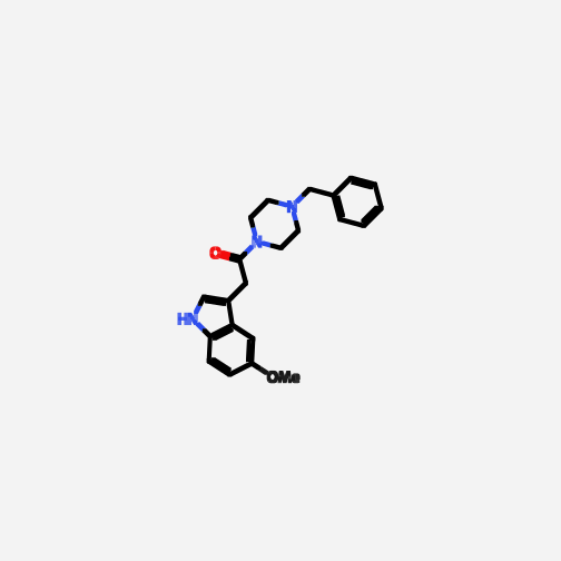 COc1ccc2[nH]cc(CC(=O)N3CCN(Cc4ccccc4)CC3)c2c1